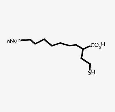 CCCCCCCCCCCCCCCCC(CCS)C(=O)O